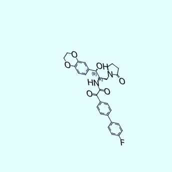 O=C(N[C@H](CN1CCCC1=O)[C@H](O)c1ccc2c(c1)OCCO2)C(=O)c1ccc(-c2ccc(F)cc2)cc1